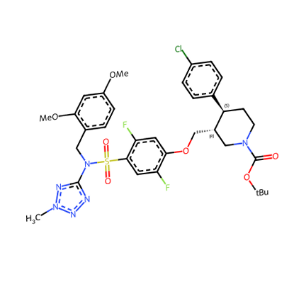 COc1ccc(CN(c2nnn(C)n2)S(=O)(=O)c2cc(F)c(OC[C@H]3CN(C(=O)OC(C)(C)C)CC[C@@H]3c3ccc(Cl)cc3)cc2F)c(OC)c1